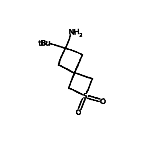 CC(C)(C)C1(N)CC2(C1)CS(=O)(=O)C2